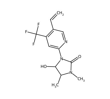 C=Cc1cnc(N2C(=O)N(C)C(C)C2O)cc1C(F)(F)F